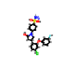 NS(=O)(=O)c1ccc(N2CC(c3ccc(Cl)cc3Oc3cccc(F)c3)CC2=O)cc1